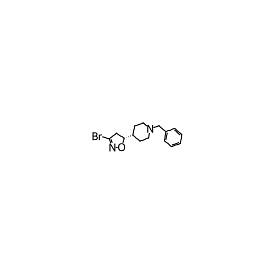 BrC1=NO[C@@H](C2CCN(Cc3ccccc3)CC2)C1